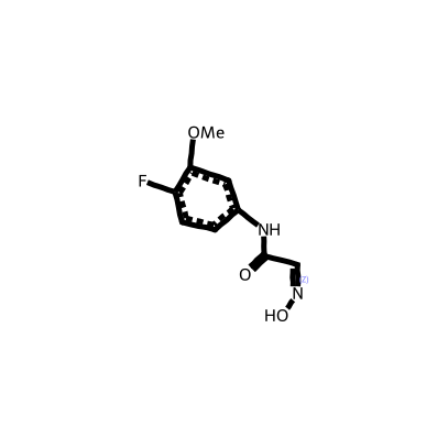 COc1cc(NC(=O)/C=N\O)ccc1F